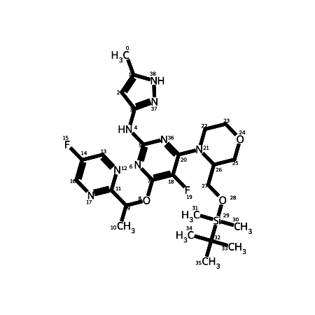 Cc1cc(Nc2nc(OC(C)c3ncc(F)cn3)c(F)c(N3CCOCC3CO[Si](C)(C)C(C)(C)C)n2)n[nH]1